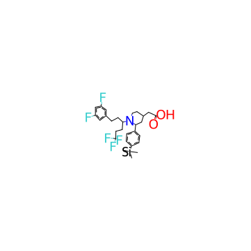 C[Si](C)(C)c1ccc(C2CC(CC(=O)O)CCN2C(CCc2cc(F)cc(F)c2)CCC(F)(F)F)cc1